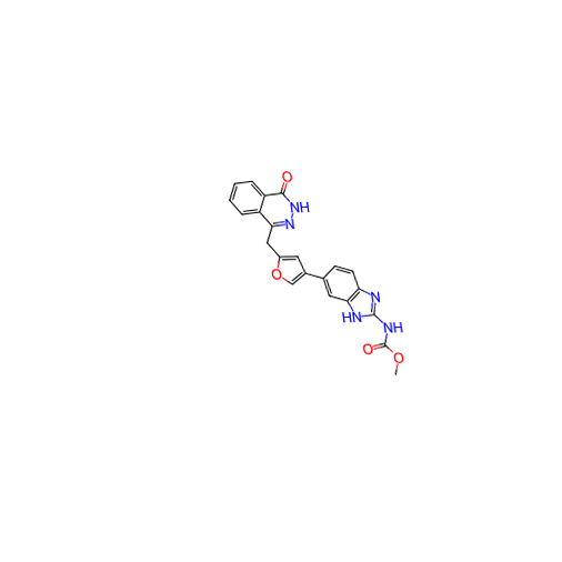 COC(=O)Nc1nc2ccc(-c3coc(Cc4n[nH]c(=O)c5ccccc45)c3)cc2[nH]1